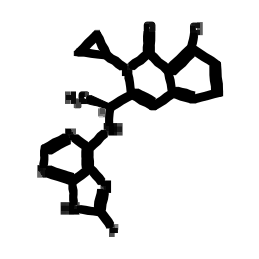 C[C@H](Nc1ncnc2[nH]c(F)nc12)c1cc2cccc(Cl)c2c(=O)n1C1CC1